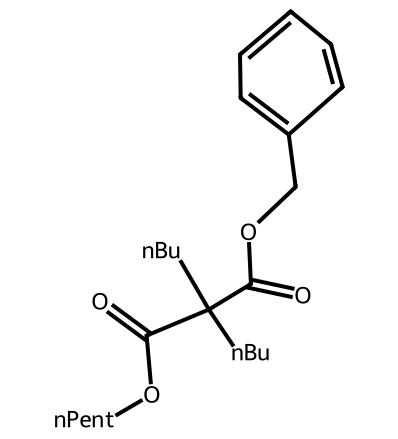 CCCCCOC(=O)C(CCCC)(CCCC)C(=O)OCc1ccccc1